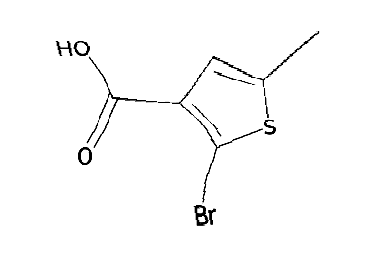 Cc1cc(C(=O)O)c(Br)s1